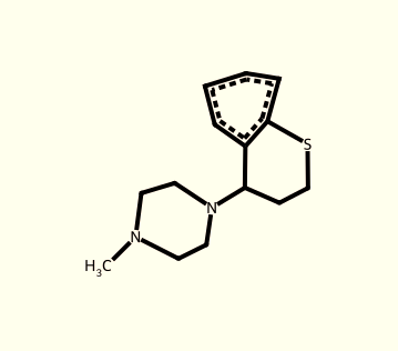 CN1CCN(C2CCSc3ccccc32)CC1